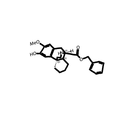 COc1cc2c(cc1O)[C@]13CCCC[C@@H]1[C@H](C2)N(C(=O)OCc1ccccc1)CC3